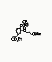 CCOC(=O)CCc1ccc(OS(=O)(=O)C(F)(F)F)c(OCCCOC)c1